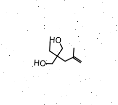 C=C(C)CC(CC)(CO)CO